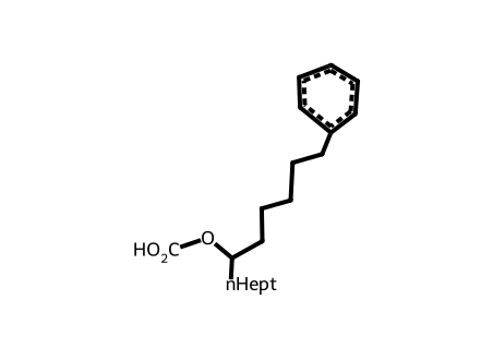 CCCCCCCC(CCCCCc1ccccc1)OC(=O)O